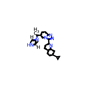 C[C@H](c1ccc2nnc(-c3ccc4ccc(C5CC5)cc4n3)n2c1)N1C[C@@H]2C[C@H]1CN2